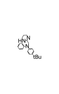 CC(C)(C)c1ccc(N(CC2=NCCCN2)c2ccccc2)cc1